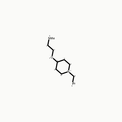 CNCCOC1CCN(CC(C)C)CC1